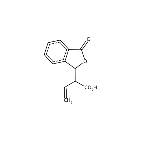 C=CC(C(=O)O)C1OC(=O)c2ccccc21